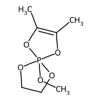 COP12(OCCO1)OC(C)=C(C)O2